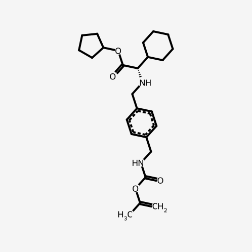 C=C(C)OC(=O)NCc1ccc(CN[C@H](C(=O)OC2CCCC2)C2CCCCC2)cc1